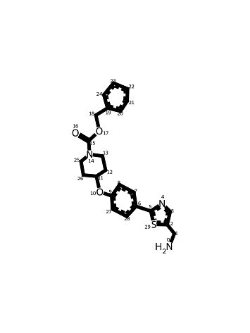 NCc1cnc(-c2ccc(OC3CCN(C(=O)OCc4ccccc4)CC3)cc2)s1